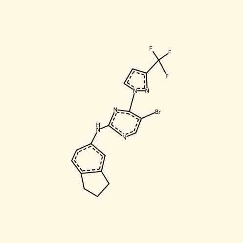 FC(F)(F)c1ccn(-c2nc(Nc3ccc4c(c3)CCC4)ncc2Br)n1